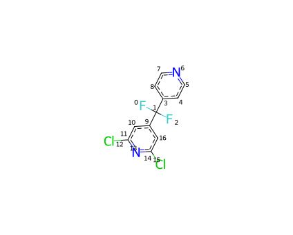 FC(F)(c1ccncc1)c1cc(Cl)nc(Cl)c1